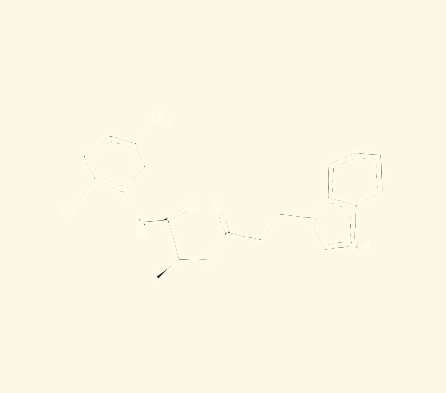 C[C@H](OC(=O)CCc1c[nH]c2ccccc12)C(=O)Nc1cc(C(F)(F)F)ccc1Cl